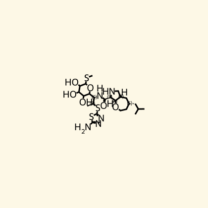 CSC1OC([C@H](NC(=O)[C@H]2NC[C@@H]3C[C@H](CC(C)C)CCO[C@H]32)[C@H](C)Sc2nnc(N)s2)C(O)C(O)C1O